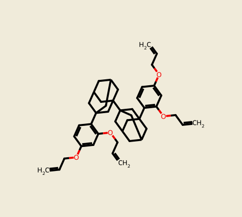 C=CCOc1ccc(C23CC4CC(C2)CC(C25CC6CC(CC(c7ccc(OCC=C)cc7OCC=C)(C6)C2)C5)(C4)C3)c(OCC=C)c1